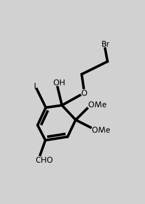 COC1(OC)C=C(C=O)C=C(I)C1(O)OCCBr